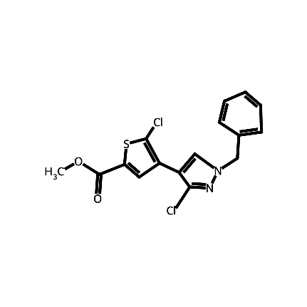 COC(=O)c1cc(-c2cn(Cc3ccccc3)nc2Cl)c(Cl)s1